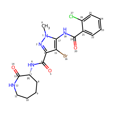 Cn1nc(C(=O)N[C@@H]2CCCCNC2=O)c(Br)c1NC(=O)c1ccccc1Cl